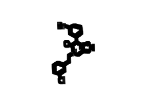 O=C1C(c2cccc(Br)c2)n2cncc2CN1CCc1cccc(Cl)c1